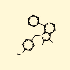 COc1ccc(Cn2c(C)c(C)c3ccnc(-c4ccccc4)c32)cc1.Cl